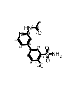 CC(=O)Nc1cc(-c2ccc(Cl)c(S(N)(=O)=O)c2)ccn1